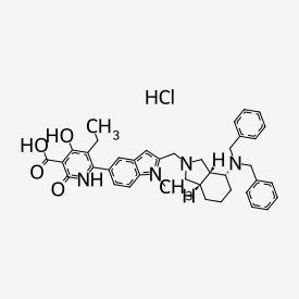 CCc1c(-c2ccc3c(c2)cc(CN2C[C@H]4CCC[C@@H](N(Cc5ccccc5)Cc5ccccc5)[C@H]4C2)n3C)[nH]c(=O)c(C(=O)O)c1O.Cl